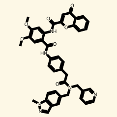 COc1cc(NC(=O)c2cc(=O)c3ccccc3o2)c(C(=O)Nc2ccc(CC(=O)N(Cc3cccnc3)Cc3ccc4c(cnn4C)c3)cc2)cc1OC